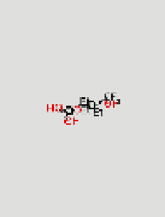 CCc1cc(C(CC)(CC)COc2ccc(CO)c(CO)c2)ccc1C=CC(O)C(F)(F)F